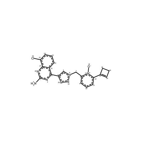 Nc1nc(-c2cn(Cc3cccc(C4=CCC4)[n+]3[O-])nn2)c2cccc(Cl)c2n1